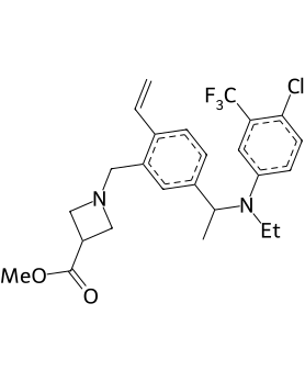 C=Cc1ccc(C(C)N(CC)c2ccc(Cl)c(C(F)(F)F)c2)cc1CN1CC(C(=O)OC)C1